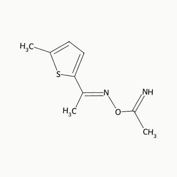 CC(=N)O/N=C(\C)c1ccc(C)s1